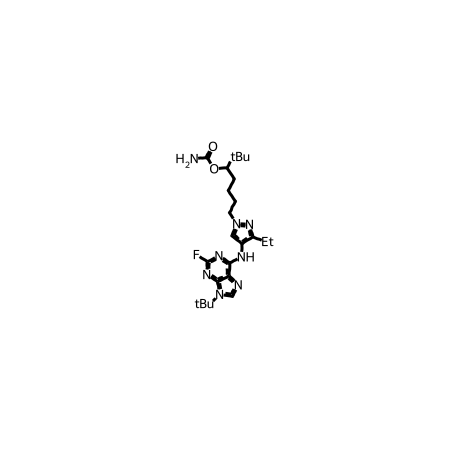 CCc1nn(CCCCC(OC(N)=O)C(C)(C)C)cc1Nc1nc(F)nc2c1ncn2C(C)(C)C